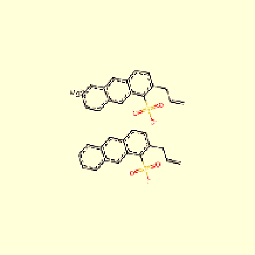 C=CCc1ccc2cc3ccccc3cc2c1S(=O)(=O)[O-].C=CCc1ccc2cc3ccccc3cc2c1S(=O)(=O)[O-].[Mg+2]